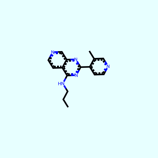 CCCNc1nc(-c2ccncc2C)nc2cnccc12